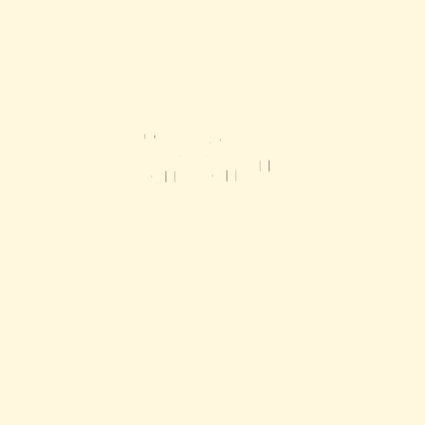 CCCCCCCCCCCC(C(=O)O)(C(=O)O)c1ccccc1.[LiH]